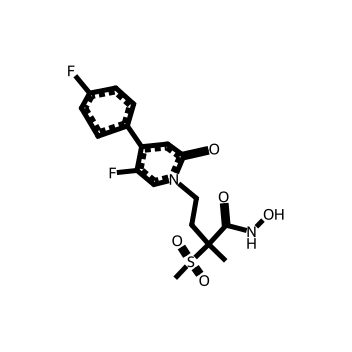 CC(CCn1cc(F)c(-c2ccc(F)cc2)cc1=O)(C(=O)NO)S(C)(=O)=O